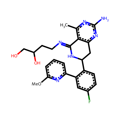 COc1cccc(-c2cc(F)ccc2C2Cc3nc(N)nc(C)c3C(=NCCC(O)CO)N2)n1